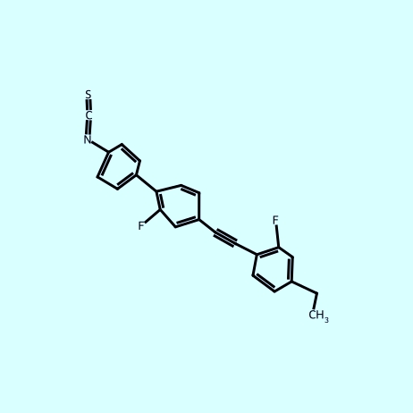 CCc1ccc(C#Cc2ccc(-c3ccc(N=C=S)cc3)c(F)c2)c(F)c1